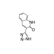 O=c1[nH]c2ccccc2cc1-c1c[nH]nn1